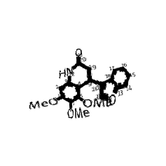 COc1cc2c(c(OC)c1OC)C(c1coc3ccccc13)CC(=O)N2